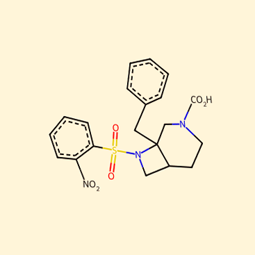 O=C(O)N1CCC2CN(S(=O)(=O)c3ccccc3[N+](=O)[O-])C2(Cc2ccccc2)C1